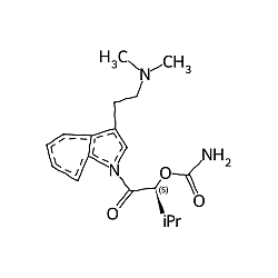 CC(C)[C@H](OC(N)=O)C(=O)n1cc(CCN(C)C)c2ccccc21